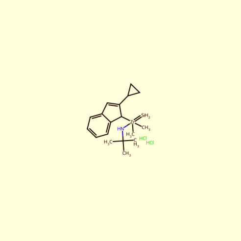 CC(C)(C)[NH][Zr]([CH3])([CH3])(=[SiH2])[CH]1C(C2CC2)=Cc2ccccc21.Cl.Cl